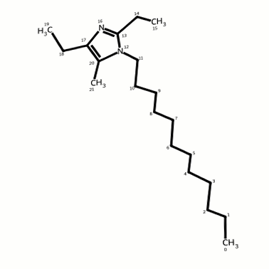 CCCCCCCCCCCCn1c(CC)nc(CC)c1C